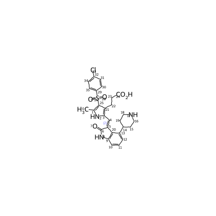 Cc1[nH]c(/C=C2\C(=O)Nc3cccc(C4CCNCC4)c32)c(CCC(=O)O)c1S(=O)(=O)c1ccc(Cl)cc1